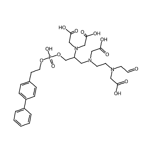 O=CCN(CCN(CC(=O)O)CC(COP(=O)(O)OCCc1ccc(-c2ccccc2)cc1)N(CC(=O)O)CC(=O)O)CC(=O)O